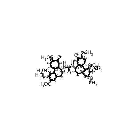 COc1cc2c(c(OC)c1OC)-c1ccc(SC)c(=O)cc1[C@@H](NC(=O)N[C@H]1CCc3cc(OC)c(OC)c(OC)c3-c3ccc(SC)c(=O)cc31)CC2